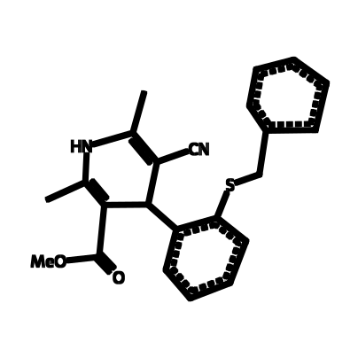 COC(=O)C1=C(C)NC(C)=C(C#N)C1c1ccccc1SCc1ccccc1